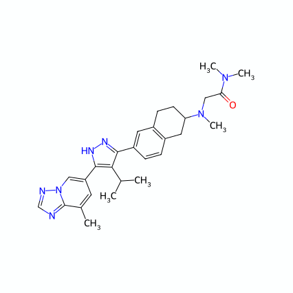 Cc1cc(-c2[nH]nc(-c3ccc4c(c3)CCC(N(C)CC(=O)N(C)C)C4)c2C(C)C)cn2ncnc12